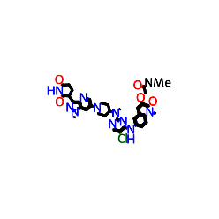 CNC(=O)COc1cc2cc(Nc3nc(N(C)C4CCN(c5cnc6c(C7CCC(=O)NC7=O)nn(C)c6c5)CC4)ncc3Cl)ccc2n(C)c1=O